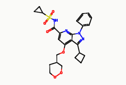 O=C(NS(=O)(=O)C1CC1)c1cc(OCC2CCOOC2)c2c(C3CCC3)nn(-c3ccccc3)c2n1